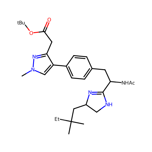 CCC(C)(C)CC1CNC(C(Cc2ccc(-c3cn(C)nc3CC(=O)OC(C)(C)C)cc2)NC(C)=O)=N1